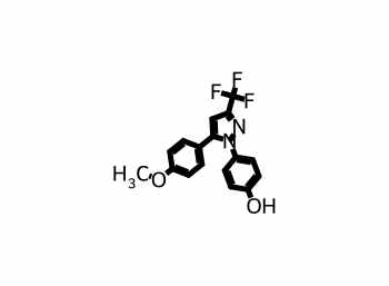 COc1ccc(-c2cc(C(F)(F)F)nn2-c2ccc(O)cc2)cc1